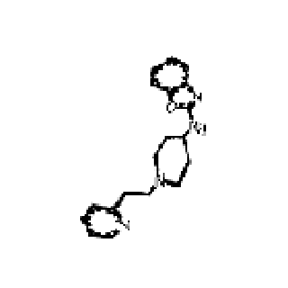 c1ccc(CCN2CCC(Nc3nc4ccccc4o3)CC2)nc1